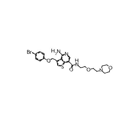 Nc1ncc(C(=O)NCCOCCN2CCOCC2)c2scc(COc3ccc(Br)cc3)c12